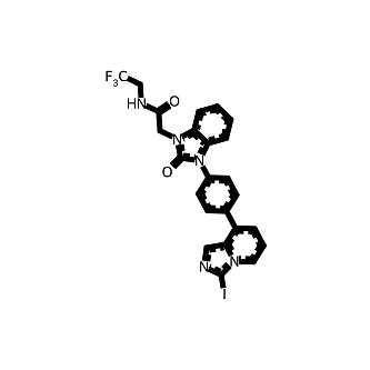 O=C(Cn1c(=O)n(-c2ccc(-c3cccn4c(I)ncc34)cc2)c2ccccc21)NCC(F)(F)F